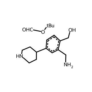 CC(C)(C)OC=O.NCc1cc(C2CCNCC2)ccc1CO